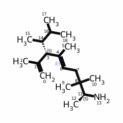 C=C(C)[C@@H](/C(C)=C/CC(C)(C)[C@H](C)N)C(C)C(C)C